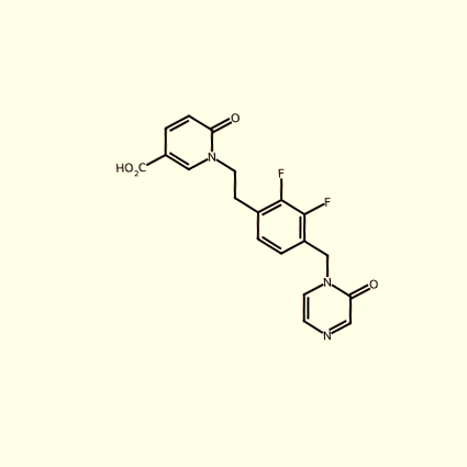 O=C(O)c1ccc(=O)n(CCc2ccc(Cn3ccncc3=O)c(F)c2F)c1